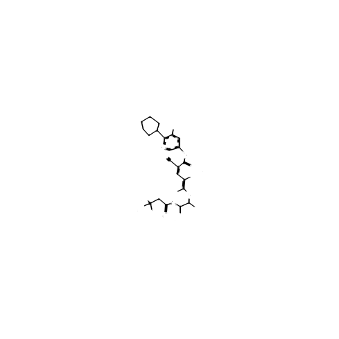 C#C/C(=C/C(F)=C(\C)NC(C)C(C)NC(=C)CC(C)(C)C)C(=C)Nc1cnc(C2CCCCC2)c(F)c1